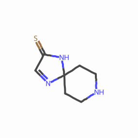 S=C1C=NC2(CCNCC2)N1